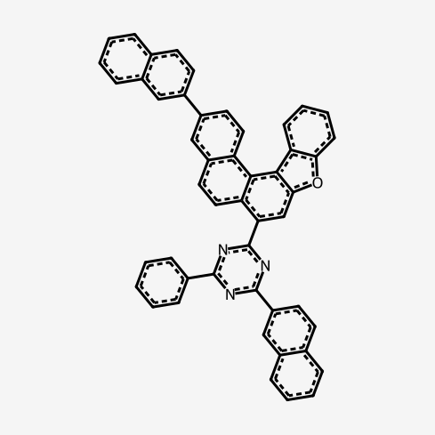 c1ccc(-c2nc(-c3ccc4ccccc4c3)nc(-c3cc4oc5ccccc5c4c4c3ccc3cc(-c5ccc6ccccc6c5)ccc34)n2)cc1